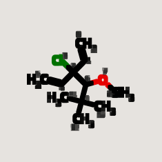 C=CC(Cl)(C=C)C(O[SiH3])C(C)(C)C